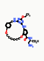 NC[C@H](NC(=O)c1ccc2cc1OCCCCCCOc1ccc(cc1)CNc1nc(nc(OCC(F)(F)F)n1)N2)C(=O)O